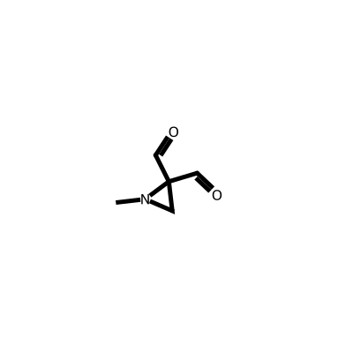 CN1CC1(C=O)C=O